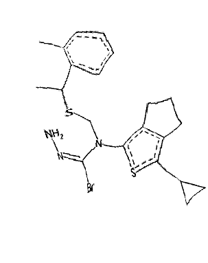 Cc1ccccc1C(C)SCN(/C(Br)=N\N)c1sc(C2CC2)c2c1CCC2